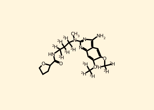 [2H]C([2H])([2H])Oc1cc2nc(N(C)C([2H])([2H])C([2H])([2H])C([2H])([2H])NC(=O)C3CCCO3)nc(N)c2cc1OC([2H])([2H])[2H]